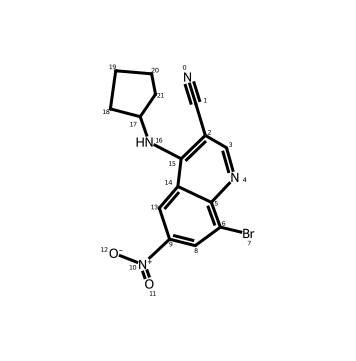 N#Cc1cnc2c(Br)cc([N+](=O)[O-])cc2c1NC1CCCC1